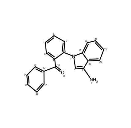 Nc1cn(-c2ccccc2C(=O)c2ccccc2)c2ccccc12